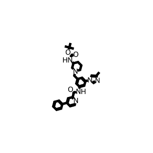 Cc1cn(-c2cc(CN3CCCC(NC(=O)OC(C)(C)C)C3)cc(NC(=O)c3cc(-c4ccccc4)ccn3)c2)cn1